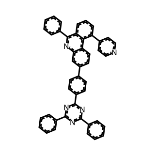 c1ccc(-c2nc(-c3ccccc3)nc(-c3ccc(-c4ccc5c(c4)nc(-c4ccccc4)c4cccc(-c6ccncc6)c45)cc3)n2)cc1